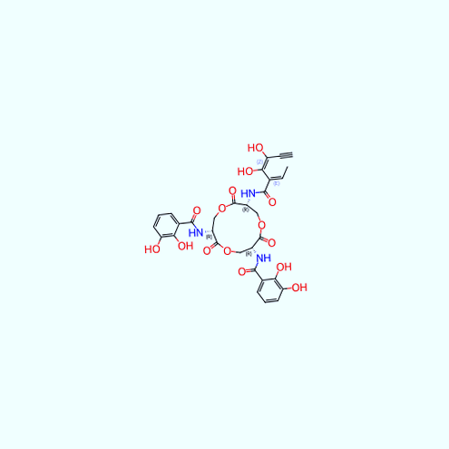 C#C/C(O)=C(O)\C(=C/C)C(=O)N[C@@H]1COC(=O)[C@H](NC(=O)c2cccc(O)c2O)COC(=O)[C@H](NC(=O)c2cccc(O)c2O)COC1=O